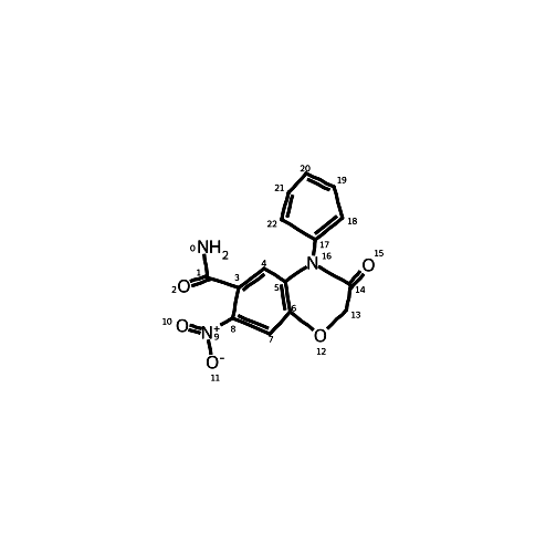 NC(=O)c1cc2c(cc1[N+](=O)[O-])OCC(=O)N2c1ccccc1